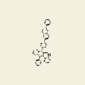 c1ccc(-c2ccc3cc(-c4ccc(-c5c6ccccc6c(-c6ccccc6)c6c5cnc5ccccc56)cc4)ccc3c2)cc1